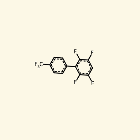 Fc1cc(F)c(F)c(-c2ccc(C(F)(F)F)cc2)c1F